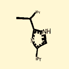 CC(C)c1c[nH]c(C(C)C(C)C)n1